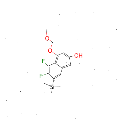 COCOc1cc(O)cc2cc([Si](C)(C)C)c(F)c(F)c12